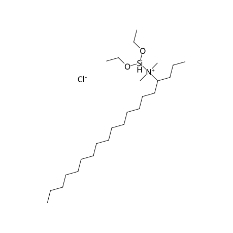 CCCCCCCCCCCCCCCC(CCC)[N+](C)(C)[SiH](OCC)OCC.[Cl-]